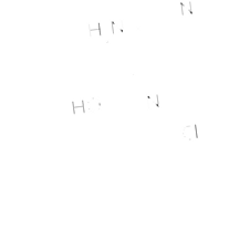 Nc1cnccc1C(CO)N=Cc1ccccc1Cl